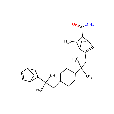 CC1C2CC(C=C2CC(C)(C)C2CCC(CC(C)(C)C3CC4C=CC3C4)CC2)C1C(N)=O